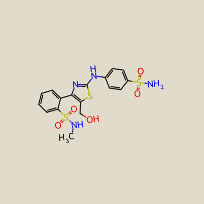 CNS(=O)(=O)c1ccccc1-c1nc(Nc2ccc(S(N)(=O)=O)cc2)sc1CO